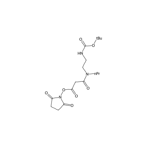 CCCN(CCNC(=O)OC(C)(C)C)C(=O)CC(=O)ON1C(=O)CCC1=O